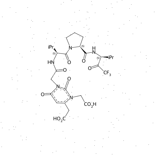 CC(C)[C@H](NC(=O)Cn1c(=O)cc(CC(=O)O)n(CC(=O)O)c1=O)C(=O)N1CCC[C@H]1C(=O)N[C@H](C(=O)C(F)(F)F)C(C)C